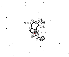 CO[C@H]1C[C@H]2C=C[C@H]3[C@H]([C@H](OC(=O)c4ccc[nH]4)C(C)C)O[C@]2(/C(C)=C/[C@@H](C)[C@@H]([C@@H](C)O)OC1=O)[C@@H]3C